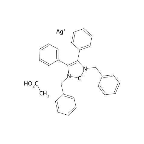 CC(=O)O.[Ag+].c1ccc(CN2[CH-]N(Cc3ccccc3)C(c3ccccc3)=C2c2ccccc2)cc1